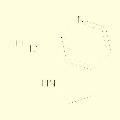 Br.Br.c1cc2c(cn1)NCC2